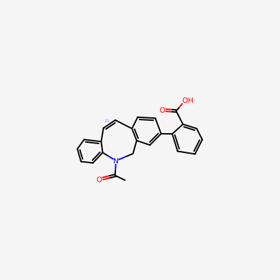 CC(=O)N1Cc2cc(-c3ccccc3C(=O)O)ccc2/C=C\c2ccccc21